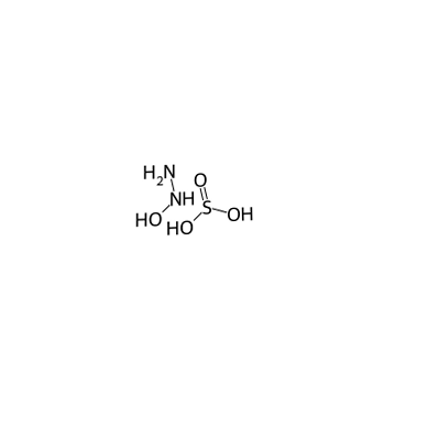 NNO.O=S(O)O